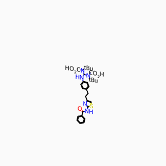 CC(C)(C)N(C(=O)O)C(Nc1ccc(CCc2csc(NC(=O)c3ccccc3)n2)cc1)N(C(=O)O)C(C)(C)C